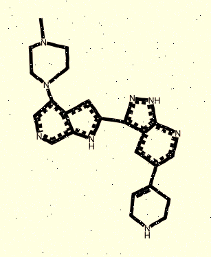 CN1CCN(c2cncc3[nH]c(-c4n[nH]c5ncc(C6=CCNCC6)cc45)cc23)CC1